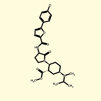 COC(=O)[C@H]1C[C@H](N(C)C(C)C)CC[C@@H]1N1CCC(NC(=O)c2ccc(-c3ccc(Cl)cc3)o2)C1=O